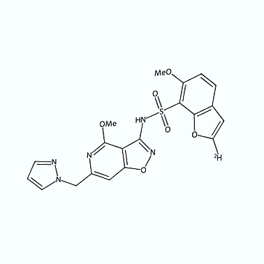 [2H]c1cc2ccc(OC)c(S(=O)(=O)Nc3noc4cc(Cn5cccn5)nc(OC)c34)c2o1